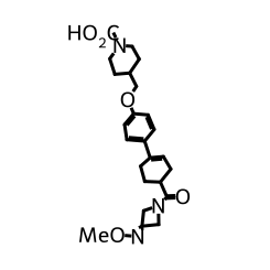 CON=C1CN(C(=O)C2CC=C(c3ccc(OCC4CCN(C(=O)O)CC4)cc3)CC2)C1